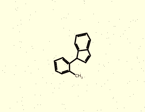 Cc1ccccc1[C]1C=Cc2ccccc21